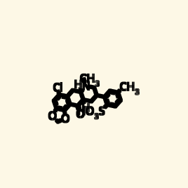 Cc1ccc(S(=O)(=O)O)c(C2C[C@@H]3C(=O)c4c(c(Cl)cc5c4OCO5)C[C@H]3N(C)C2)c1